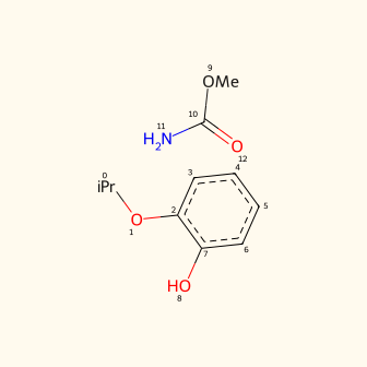 CC(C)Oc1ccccc1O.COC(N)=O